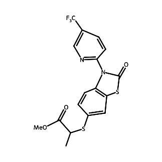 COC(=O)C(C)Sc1ccc2c(c1)sc(=O)n2-c1ccc(C(F)(F)F)cn1